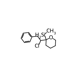 C[SiH2]C1(C(Cl)Cc2ccccc2)CCCCO1